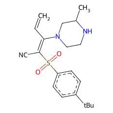 C=CC(=C(C#N)S(=O)(=O)c1ccc(C(C)(C)C)cc1)N1CCNC(C)C1